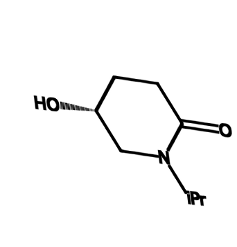 CC(C)N1C[C@H](O)CCC1=O